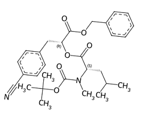 CC(C)C[C@@H](C(=O)O[C@H](Cc1ccc(C#N)cc1)C(=O)OCc1ccccc1)N(C)C(=O)OC(C)(C)C